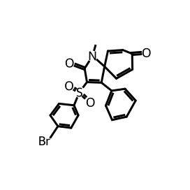 CN1C(=O)C(S(=O)(=O)c2ccc(Br)cc2)=C(c2ccccc2)C12C=CC(=O)C=C2